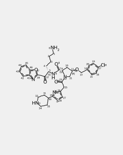 NCCCC[C@H](NC(=O)[C@@H]1C[C@@H](OCc2ccc(Cl)cc2)CN1C(=O)Cc1csc(C2CCNCC2)n1)C(=O)c1nc2ccccc2o1